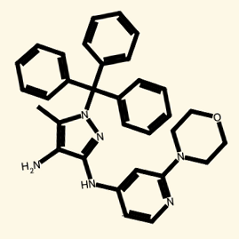 Cc1c(N)c(Nc2[c]cnc(N3CCOCC3)c2)nn1C(c1ccccc1)(c1ccccc1)c1ccccc1